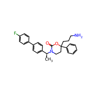 C[C@@H](c1ccc(-c2ccc(F)cc2)cc1)N1CCC(CCCN)(c2ccccc2)OC1=O